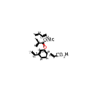 C=C(C)C(=O)OC.C=CC(=O)O.C=CC=C.C=Cc1ccccc1